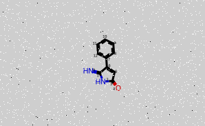 N=C1NC(=O)C=C1c1ccccc1